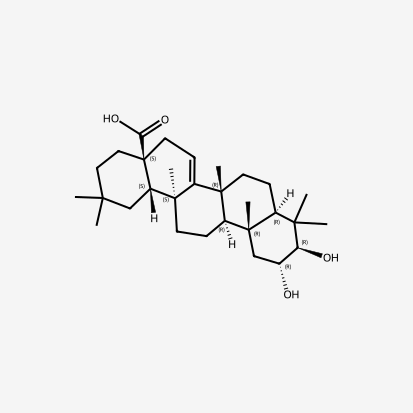 CC1(C)CC[C@]2(C(=O)O)CC=C3[C@]4(C)CC[C@H]5C(C)(C)[C@@H](O)[C@H](O)C[C@]5(C)[C@H]4CC[C@@]3(C)[C@@H]2C1